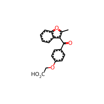 Cc1oc2ccccc2c1C(=O)c1ccc(OCC(=O)O)cc1